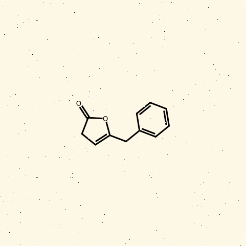 O=C1CC=C(Cc2ccccc2)O1